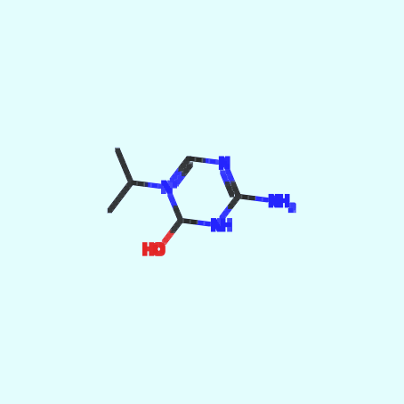 CC(C)[N+]1=CN=C(N)NC1O